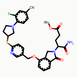 CC(C)(C)OC(=O)CCC(C(N)=O)N1Cc2c(OCc3ccc(SC4CCN(c5ccc(C#N)cc5F)C4)nc3)cccc2C1=O